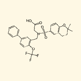 CC1(C)CCc2cc(S(=O)(=O)N(CC(=O)O)Cc3cc(-c4ccccc4)ccc3OC(F)(F)F)ccc2O1